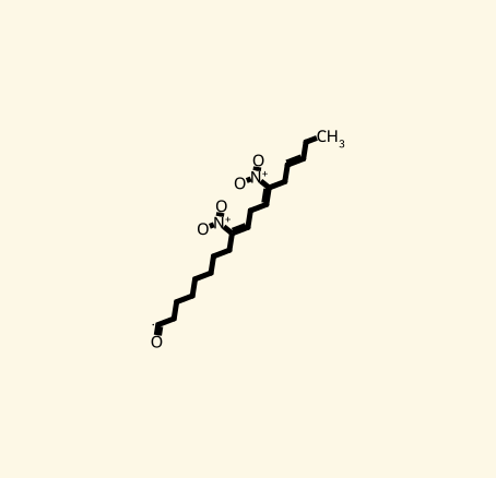 CC/C=C/C/C(=C/C/C=C(/CCCCCCC[C]=O)[N+](=O)[O-])[N+](=O)[O-]